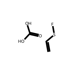 C=CSF.O=C(O)O